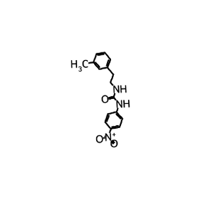 Cc1cccc(CCNC(=O)Nc2ccc([N+](=O)[O-])cc2)c1